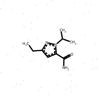 CCc1cc(C(N)=O)n(C(C)C)n1